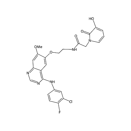 COc1cc2ncnc(Nc3ccc(F)c(Cl)c3)c2cc1OCCNC(=O)Cn1cccc(O)c1=O